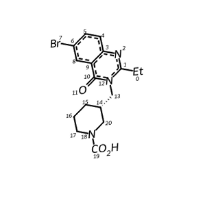 CCc1nc2ccc(Br)cc2c(=O)n1C[C@H]1CCCN(C(=O)O)C1